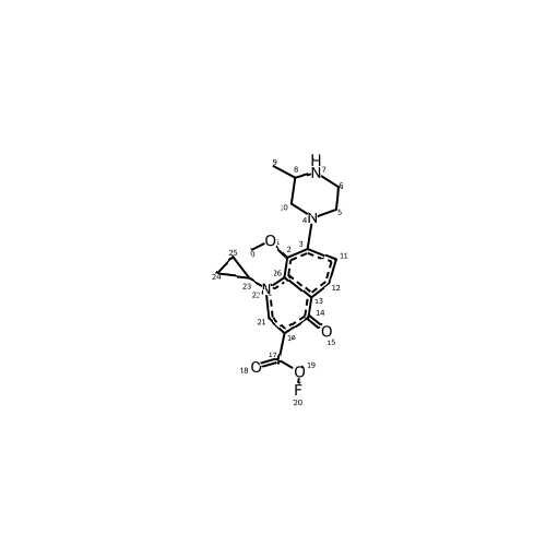 COc1c(N2CCNC(C)C2)ccc2c(=O)c(C(=O)OF)cn(C3CC3)c12